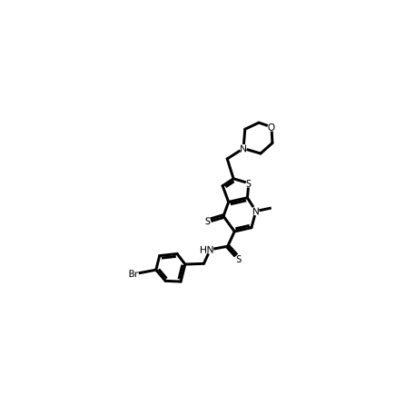 Cn1cc(C(=S)NCc2ccc(Br)cc2)c(=S)c2cc(CN3CCOCC3)sc21